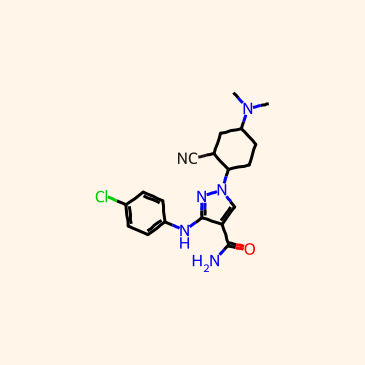 CN(C)C1CCC(n2cc(C(N)=O)c(Nc3ccc(Cl)cc3)n2)C(C#N)C1